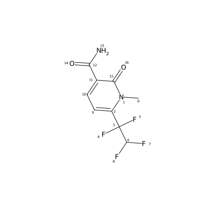 Cn1c(C(F)(F)C(F)F)ccc(C(N)=O)c1=O